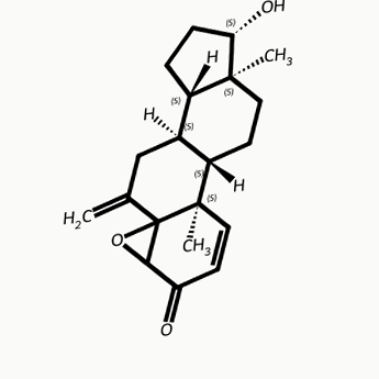 C=C1C[C@H]2[C@@H]3CC[C@H](O)[C@@]3(C)CC[C@@H]2[C@@]2(C)C=CC(=O)C3OC132